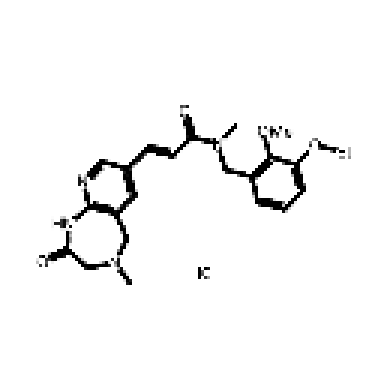 CCOc1cccc(CN(C)C(=O)C=Cc2cnc3c(c2)CN(C)CC(=O)N3)c1OC.Cl